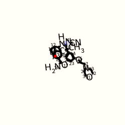 CC(C)(/C(=N\C#N)NC1C2CC3CC1CC(C(N)=O)(C3)C2)c1cccc(OCCN2CCOCC2)c1